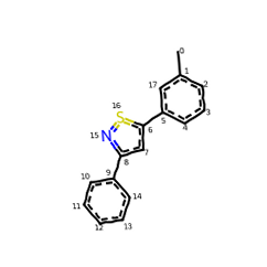 Cc1cccc(-c2cc(-c3ccccc3)ns2)c1